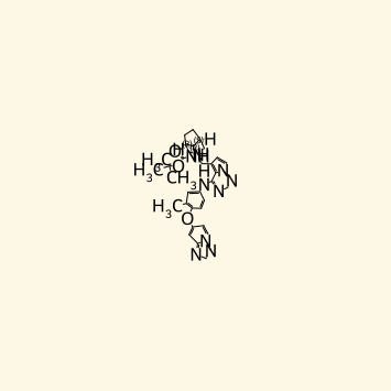 Cc1cc(Nc2ncnn3ccc(CN4C[C@H]5CC[C@@H](C4)[C@H]5NC(=O)OC(C)(C)C)c23)ccc1Oc1ccn2ncnc2c1